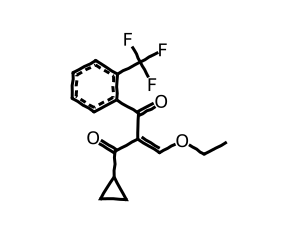 CCO/C=C(\C(=O)c1ccccc1C(F)(F)F)C(=O)C1CC1